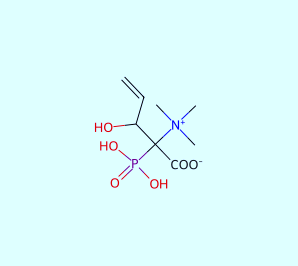 C=CC(O)C(C(=O)[O-])([N+](C)(C)C)P(=O)(O)O